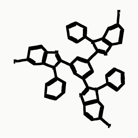 Fc1ccc2nc(-c3cc(-c4nc5ccc(F)cc5n4-c4ccccc4)cc(-c4nc5ccc(F)cc5n4-c4ccccc4)c3)n(-c3ccccc3)c2c1